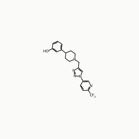 Oc1cccc(C2CCN(Cc3cn(-c4ccc(C(F)(F)F)nc4)nn3)CC2)c1